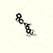 C[Si](C)(C)c1ccc2c(c1)CC1(C2)OC(N2CCC3(CC2)OCc2ccccc23)=NC1=O